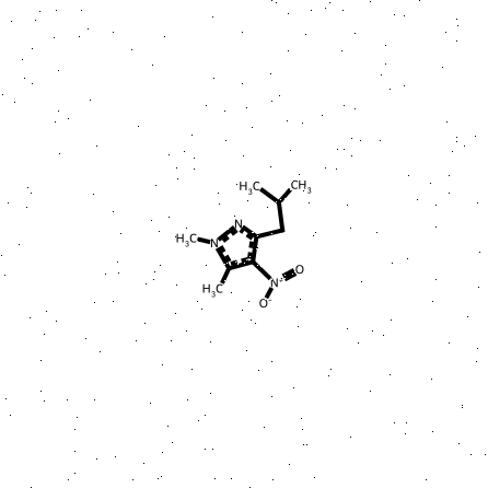 Cc1c([N+](=O)[O-])c(CC(C)C)nn1C